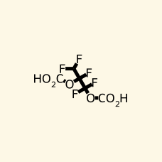 O=C(O)OC(F)(F)C(F)(OC(=O)O)C(F)F